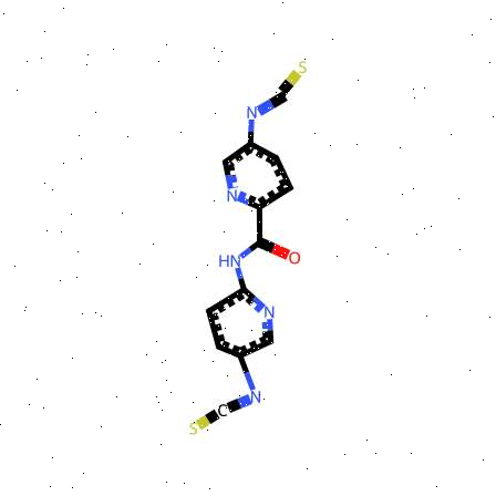 O=C(Nc1ccc(N=C=S)cn1)c1ccc(N=C=S)cn1